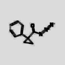 [N-]=[N+]=NC(=O)C1(c2ccccc2)CC1